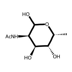 CC(=O)N[C@H]1C(O)O[C@H](C)[C@H](O)[C@H]1O